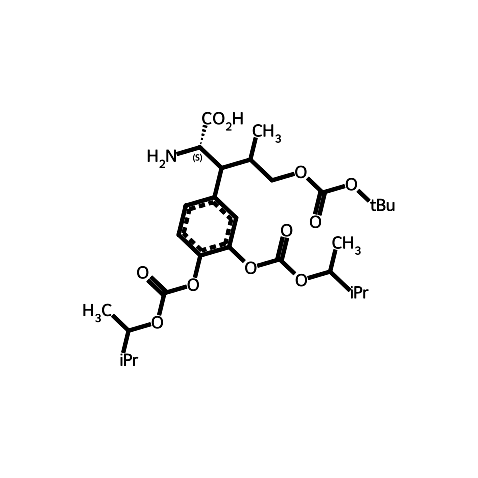 CC(C)C(C)OC(=O)Oc1ccc(C(C(C)COC(=O)OC(C)(C)C)[C@H](N)C(=O)O)cc1OC(=O)OC(C)C(C)C